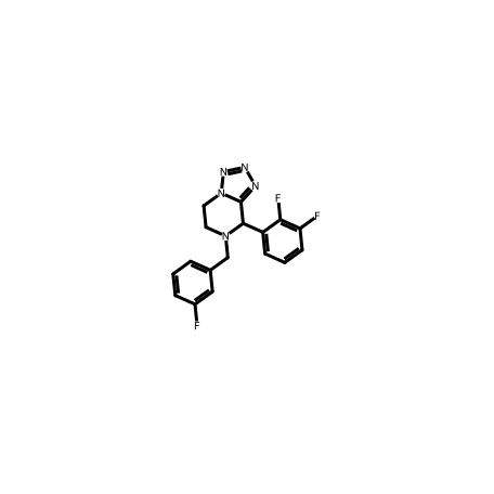 Fc1cccc(CN2CCn3nnnc3C2c2cccc(F)c2F)c1